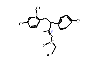 C/C(=N\[S+]([O-])CC(C)C)C(Cc1ccc(Cl)cc1Cl)c1ccc(Cl)cc1